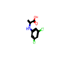 CC(Nc1cc(Cl)cc(Cl)c1)C(=O)O